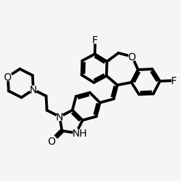 O=c1[nH]c2cc(C=C3c4ccc(F)cc4OCc4c(F)cccc43)ccc2n1CCN1CCOCC1